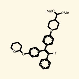 CCC(=C(c1ccc(OC2CCCCO2)cc1)c1ccc(N2CCC(C(OC)OC)CC2)cc1)c1ccccc1